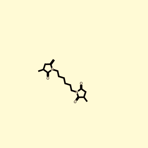 C=C1CC(C)C(=O)N1CCCCCCN1C(=O)CC(C)C1=O